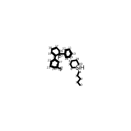 CCCCC[Si@H]1CC[C@H](c2cccc(C3(F)CC=CC=C3c3cccc(F)c3)c2)CC1